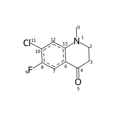 CN1CCC(=O)c2cc(F)c(Cl)cc21